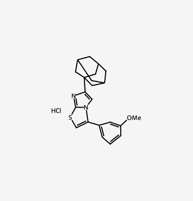 COc1cccc(-c2csc3nc(C45CC6CC(CC(C6)C4)C5)cn23)c1.Cl